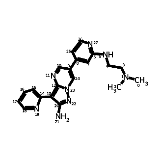 CN(C)CCNc1cc(-c2cnc3c(-c4ccccn4)c(N)nn3c2)ccn1